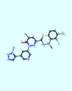 CCn1nncc1-c1cncc(-n2nc(C(=O)N[C@H](C)c3cccc(C(F)(F)F)c3F)cc(C)c2=O)c1